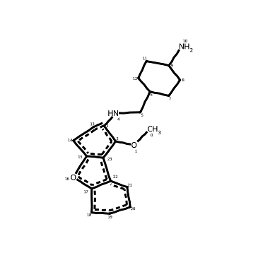 COc1c(NCC2CCC(N)CC2)ccc2oc3ccccc3c12